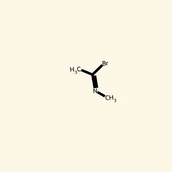 CN=C(C)Br